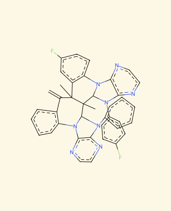 C=C1c2ccccc2N2c3nccnc3N(c3ccccc3)C2C2(C)C3N(c4ccc(F)cc4)c4nccnc4N3c3ccc(F)cc3C12C